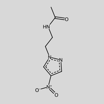 CC(=O)NCCn1cc([N+](=O)[O-])cn1